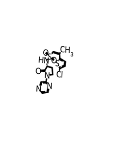 CC(=CS(=O)(=O)N[C@H]1CCN(c2cnccn2)C1=O)c1ccc(Cl)s1